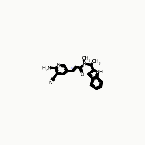 CC(c1cc2ccccc2[nH]1)N(C)C(=O)/C=C/c1cnc(N)c(C#N)c1